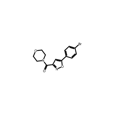 O=C(c1cc(-c2ccc(Br)cc2)on1)N1CCOCC1